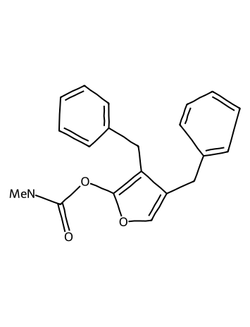 CNC(=O)Oc1occ(Cc2ccccc2)c1Cc1ccccc1